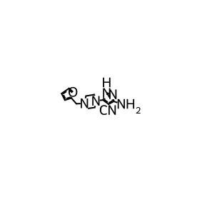 N#Cc1c(N)n[nH]c1N1CCN(Cc2ccco2)CC1